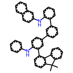 CC1(C)c2ccccc2-c2c(-c3cc(-c4cccc(-c5ccccc5Nc5ccc6ccccc6c5)c4)ccc3Nc3ccccc3)cccc21